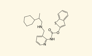 CC(CNCc1cccnc1NC(=O)Oc1cc2ccccc2s1)C1CCCCC1